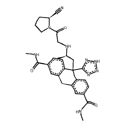 CNC(=O)c1ccc2c(c1)Cc1cc(C(=O)NC)ccc1C2(C[C@@H](C)NCC(=O)N1CCC[C@H]1C#N)c1nn[nH]n1